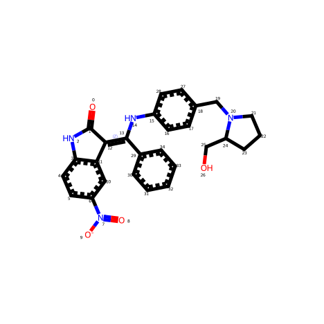 O=C1Nc2ccc([N+](=O)[O-])cc2/C1=C(/Nc1ccc(CN2CCCC2CO)cc1)c1ccccc1